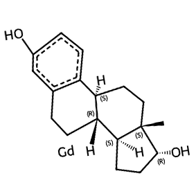 C[C@]12CC[C@@H]3c4ccc(O)cc4CC[C@H]3[C@@H]1CC[C@H]2O.[Gd]